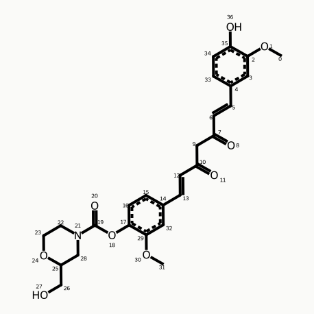 COc1cc(C=CC(=O)CC(=O)C=Cc2ccc(OC(=O)N3CCOC(CO)C3)c(OC)c2)ccc1O